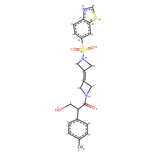 Cc1ccc(C(CO)C(=O)N2CC(=C3CN(S(=O)(=O)c4ccc5ncsc5c4)C3)C2)cc1